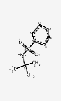 CC(C)(C)NS(=O)(=O)c1c[c]ccc1